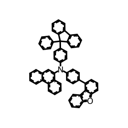 c1ccc(C2(c3ccc(N(c4ccc(-c5cccc6oc7ccccc7c56)cc4)c4cc5ccccc5c5ccccc45)cc3)c3ccccc3-c3ccccc32)cc1